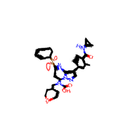 Cc1cc(-c2cnn3c(N(CC4CCOCC4)C(=O)O)cc(S(=O)(=O)c4ccccc4)nc23)ccc1C(=O)NC1CC1